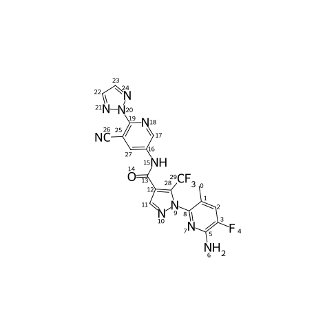 Cc1cc(F)c(N)nc1-n1ncc(C(=O)Nc2cnc(-n3nccn3)c(C#N)c2)c1C(F)(F)F